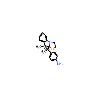 CC(c1ccc(N)cc1)C12OCCN1c1ccccc1C2(C)C